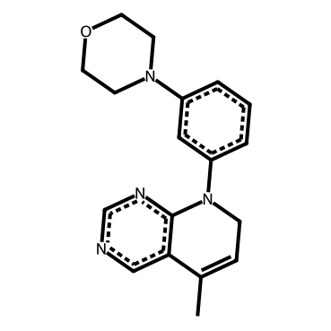 CC1=CCN(c2cccc(N3CCOCC3)c2)c2ncncc21